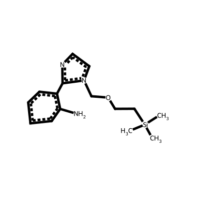 C[Si](C)(C)CCOCn1ccnc1-c1ccccc1N